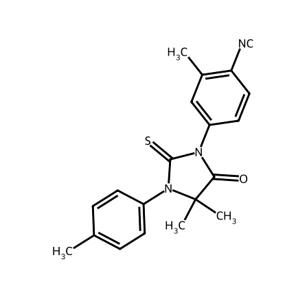 [C-]#[N+]c1ccc(N2C(=O)C(C)(C)N(c3ccc(C)cc3)C2=S)cc1C